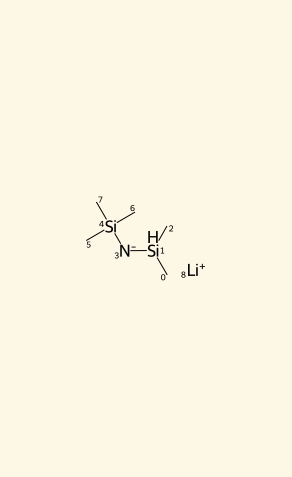 C[SiH](C)[N-][Si](C)(C)C.[Li+]